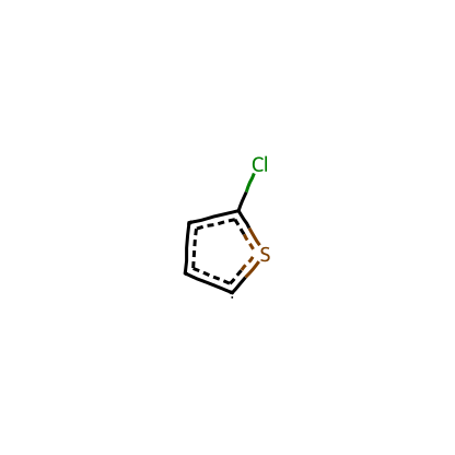 Clc1cc[c]s1